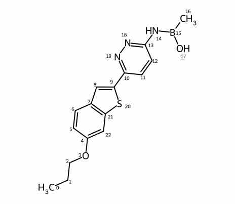 CCCOc1ccc2cc(-c3ccc(NB(C)O)nn3)sc2c1